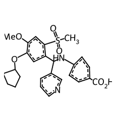 COc1cc(S(C)(=O)=O)c(C(Nc2ccc(C(=O)O)cc2)c2cccnc2)cc1OC1CCCC1